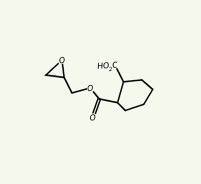 O=C(O)C1CCCCC1C(=O)OCC1CO1